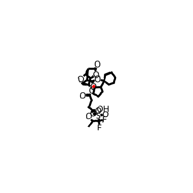 CC(OC(=O)CCC(=O)OC1C2OC(=O)C3C2OC1C3C(=O)OC1(C2CCCC2)CCCCC1)C(F)(F)S(=O)(=O)O